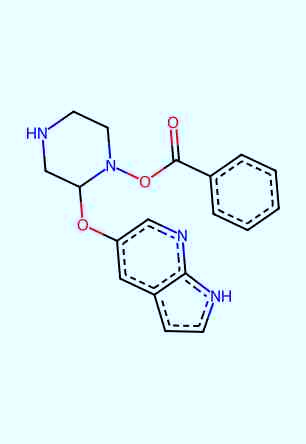 O=C(ON1CCNCC1Oc1cnc2[nH]ccc2c1)c1ccccc1